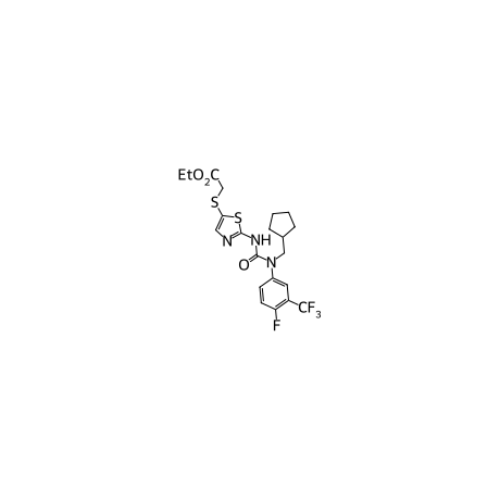 CCOC(=O)CSc1cnc(NC(=O)N(CC2CCCC2)c2ccc(F)c(C(F)(F)F)c2)s1